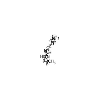 Cc1c(F)ccc2[nH]c(-c3ccc(OCCCN4CCN(C)CC4)nc3)nc12